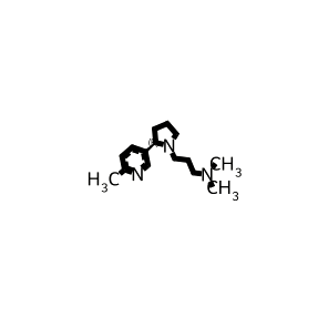 Cc1ccc([C@H]2CCCN2CCCN(C)C)cn1